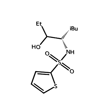 CCC(O)[C@@H](NS(=O)(=O)c1cccs1)[C@@H](C)CC